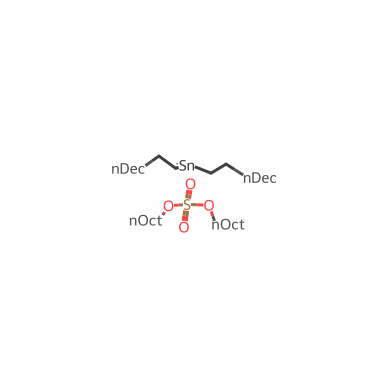 CCCCCCCCCCC[CH2][Sn][CH2]CCCCCCCCCCC.CCCCCCCCOS(=O)(=O)OCCCCCCCC